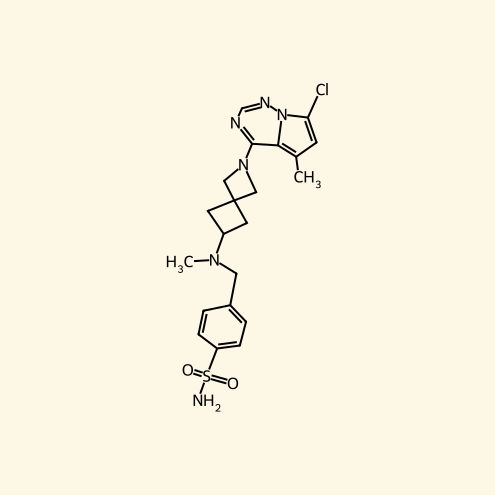 Cc1cc(Cl)n2ncnc(N3CC4(CC(N(C)Cc5ccc(S(N)(=O)=O)cc5)C4)C3)c12